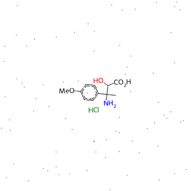 COc1ccc(C(C)(N)C(O)C(=O)O)cc1.Cl